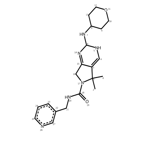 CC1(C)C2=CNC(NC3CCOCC3)N=C2CN1C(=O)NCc1cccnc1